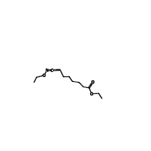 CCON=C=CCCCCCC(=O)OCC